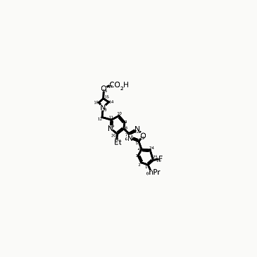 CCCc1ccc(-c2nc(-c3ccc(CN4CC(OC(=O)O)C4)nc3CC)no2)cc1F